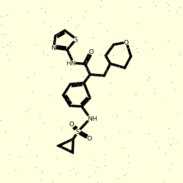 O=C(Nc1nccs1)C(CC1CCOCC1)c1cccc(NS(=O)(=O)C2CC2)c1